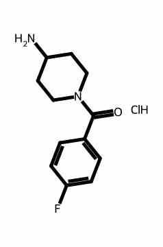 Cl.NC1CCN(C(=O)c2ccc(F)cc2)CC1